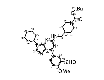 COc1ccc(-c2nc(NCC3CCN(C(=O)OC(C)(C)C)CC3)nc3c2ncn3C2CCCCO2)cc1C=O